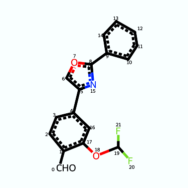 O=Cc1ccc(-c2coc(-c3ccccc3)n2)cc1OC(F)F